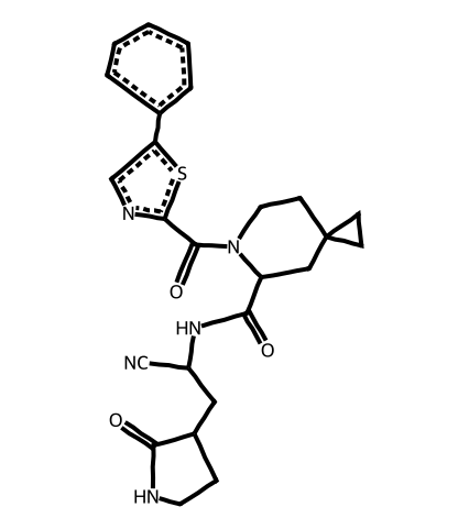 N#CC(CC1CCNC1=O)NC(=O)C1CC2(CCN1C(=O)c1ncc(-c3ccccc3)s1)CC2